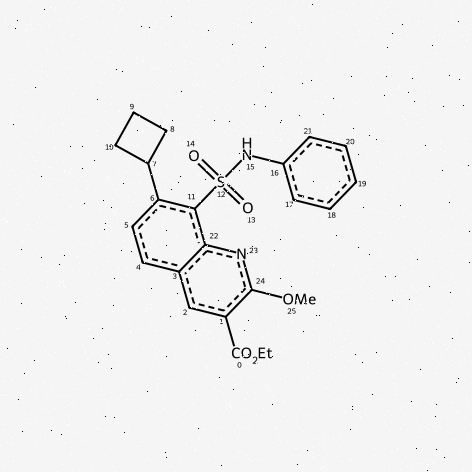 CCOC(=O)c1cc2ccc(C3CCC3)c(S(=O)(=O)Nc3ccccc3)c2nc1OC